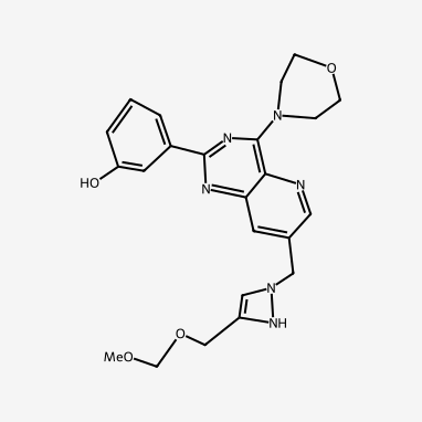 COCOCc1cn(Cc2cnc3c(N4CCOCC4)nc(-c4cccc(O)c4)nc3c2)[nH]1